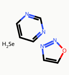 [SeH2].c1cncnc1.c1conn1